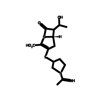 CC(=N)N1CCC(SC2=C(C(=O)O)N3C(=O)C(C(C)O)[C@H]3C2)C1